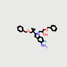 Nc1cc2cc(C3(COCc4ccccc4)CC3)n(CC(O)COCc3ccccc3)c2cc1F